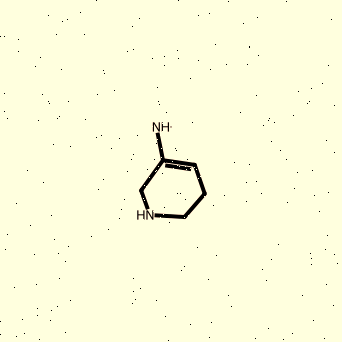 [NH]C1=CCCNC1